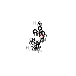 COc1ccc(C(Nc2nc3c(ncn3[C@H]3C[C@H](O[Si](C)(C)C(C)(C)C)[C@@H](COC(C)=O)O3)c(=O)[nH]2)(c2ccccc2)c2ccccc2)cc1